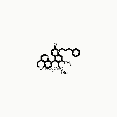 Cc1cc2c(ccc(=O)n2CCCc2ccccc2)c(-c2ccc3c4c(ccnc24)CCO3)c1[C@H](OC(C)(C)C)C(=O)O